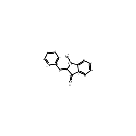 CC(=O)N1/C(=C\c2ccccn2)C(=O)c2ccccc21